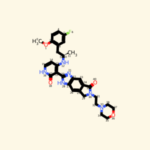 COc1ccc(F)cc1C[C@H](C)Nc1cc[nH]c(=O)c1-c1nc2cc3c(cc2[nH]1)CN(CCN1CCOCC1)C3=O